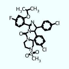 CC(C)Oc1cc(F)ccc1C1=NC(c2ccc(Cl)cc2)C(c2ccc(Cl)cc2)N1C(=O)N1CCN(S(C)(=O)=O)CC1